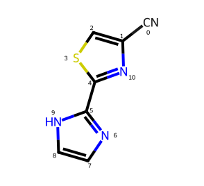 N#Cc1csc(-c2ncc[nH]2)n1